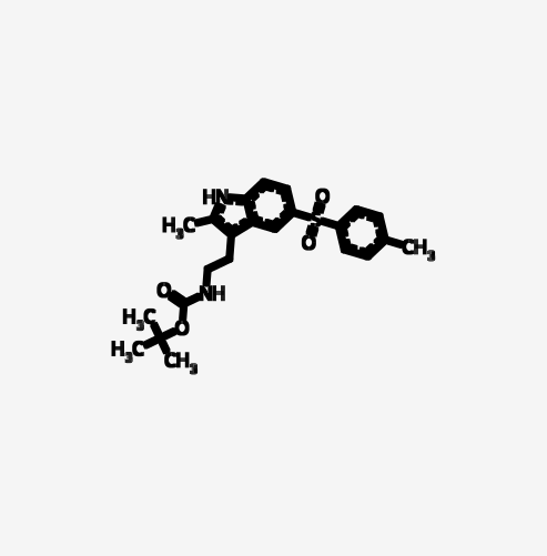 Cc1ccc(S(=O)(=O)c2ccc3[nH]c(C)c(CCNC(=O)OC(C)(C)C)c3c2)cc1